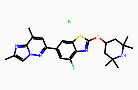 Cc1cn2nc(-c3cc(F)c4nc(OC5CC(C)(C)NC(C)(C)C5)sc4c3)cc(C)c2n1.Cl